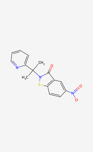 CC(C)(c1ccccn1)n1sc2ccc([N+](=O)[O-])cc2c1=O